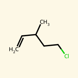 C=C[C](C)CCCl